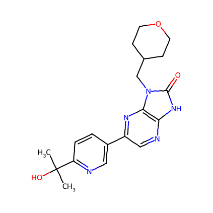 CC(C)(O)c1ccc(-c2cnc3[nH]c(=O)n(CC4CCOCC4)c3n2)cn1